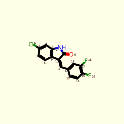 O=C1Nc2cc(Cl)ccc2C1=Cc1ccc(F)c(F)c1